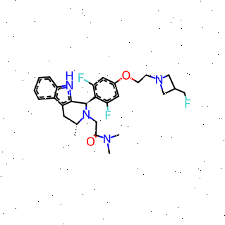 C[C@@H]1Cc2c([nH]c3ccccc23)[C@@H](c2c(F)cc(OCCN3CC(CF)C3)cc2F)N1CC(=O)N(C)C